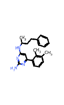 Cc1cccc(-c2cc(NC(C)CCc3ccccc3)nc(N)n2)c1C